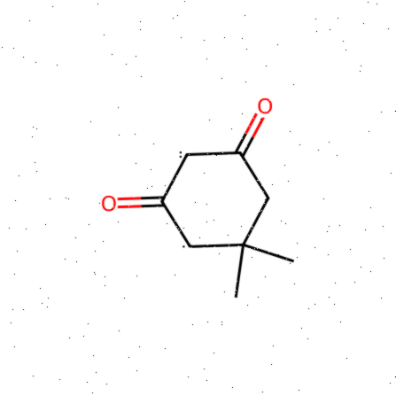 CC1(C)[CH]C(=O)[C]C(=O)C1